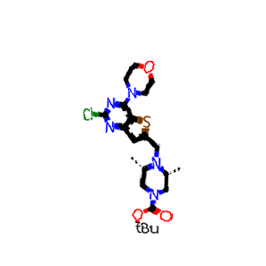 C[C@@H]1CN(C(=O)OC(C)(C)C)C[C@H](C)N1Cc1cc2nc(Cl)nc(N3CCOCC3)c2s1